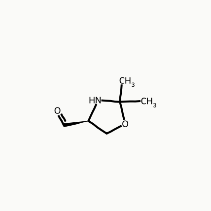 CC1(C)N[C@H](C=O)CO1